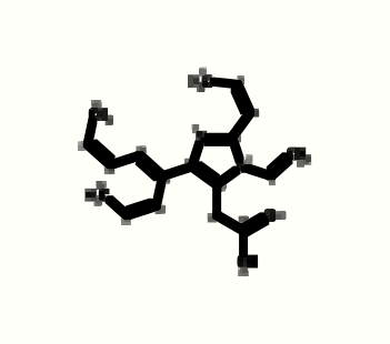 C=Cn1c(/C=C\C)nc(C(/C=C\C)=C/C=C\C)c1CC(=O)O